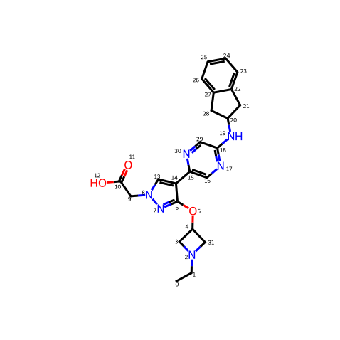 CCN1CC(Oc2nn(CC(=O)O)cc2-c2cnc(NC3Cc4ccccc4C3)cn2)C1